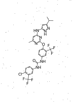 Cc1cc(Nc2cc(C(C)C)n[nH]2)nc(Oc2ccc(NC(=O)Nc3ccc(Cl)c(C(F)(F)F)c3)cc2C(F)(F)F)n1